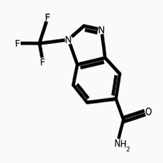 NC(=O)c1ccc2c(c1)ncn2C(F)(F)F